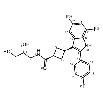 O=C(NCC(O)CO)[C@H]1C[C@@H](c2c(-c3ccc(F)cc3)[nH]c3c(F)cc(F)cc32)C1